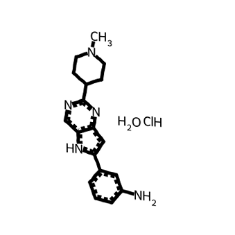 CN1CCC(c2ncc3[nH]c(-c4cccc(N)c4)cc3n2)CC1.Cl.O